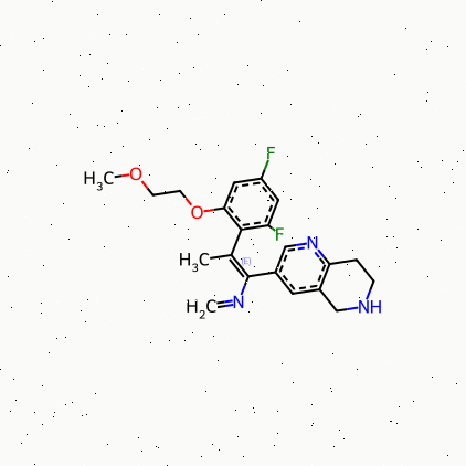 C=N/C(=C(\C)c1c(F)cc(F)cc1OCCOC)c1cnc2c(c1)CNCC2